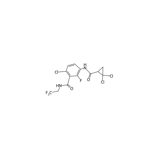 O=C(NCC(F)(F)F)c1c(Cl)ccc(NC(=O)C2CC2(Cl)Cl)c1F